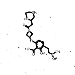 O=C(O)c1c(OC2CN(C(=O)CC3CNCCN3)C2)ccc(CCB(O)O)c1O